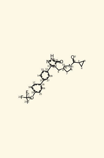 O=C(C1CC1)N1CC[C@@H](Cn2c(-c3ccc(-c4ccc(OC(F)(F)F)cc4)cc3)n[nH]c2=O)C1